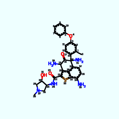 Cc1cc(Oc2ccccc2)ccc1C1(N)C(=O)C(N)c2c(C(=O)N[C@H]3CN(C)C[C@H]3O)sc3c(N)ccc1c23